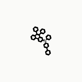 c1ccc(-c2ccc(N(c3ccccc3)c3ccc4c(c3)c(-c3ccccc3)c(-c3ccccc3)c3ccccc34)cc2)cc1